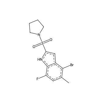 Cc1cc(F)c2[nH]c(S(=O)(=O)N3CCCC3)cc2c1Br